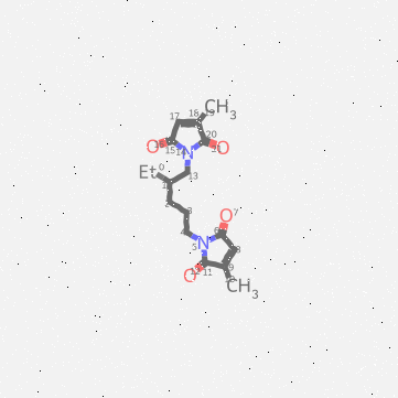 CCC(CCCN1C(=O)C=C(C)C1=O)CN1C(=O)C=C(C)C1=O